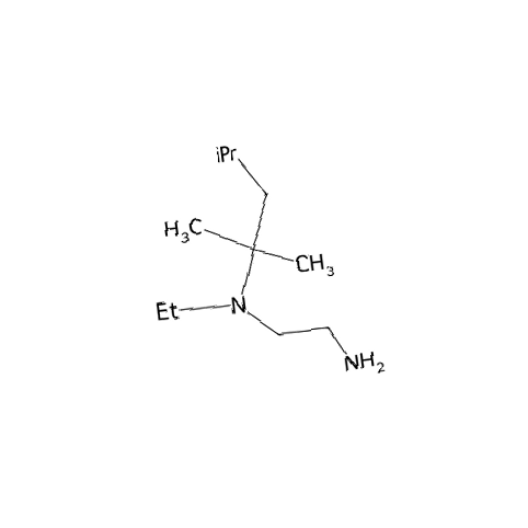 CCN(CCN)C(C)(C)CC(C)C